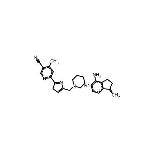 C=C1CCc2c1ccc([C@H]1CCCN(CC3=CCC(c4cc(C)c(C#N)cn4)=N3)C1)c2N